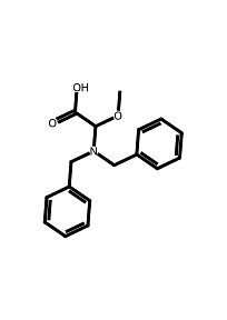 COC(C(=O)O)N(Cc1ccccc1)Cc1ccccc1